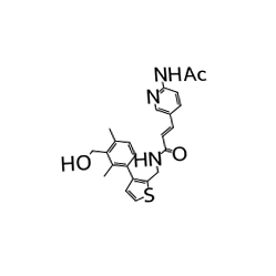 CC(=O)Nc1ccc(C=CC(=O)NCc2sccc2-c2ccc(C)c(CO)c2C)cn1